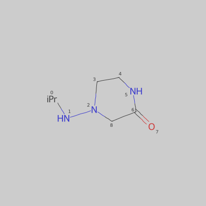 CC(C)NN1CCNC(=O)C1